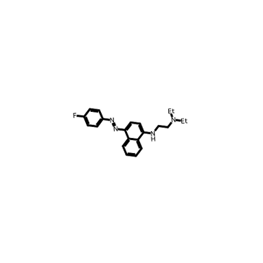 CCN(CC)CCNc1ccc(N=Nc2ccc(F)cc2)c2ccccc12